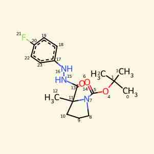 CC(C)(C)OC(=O)N1CCCC1(C)C(=O)NNc1ccc(F)cc1